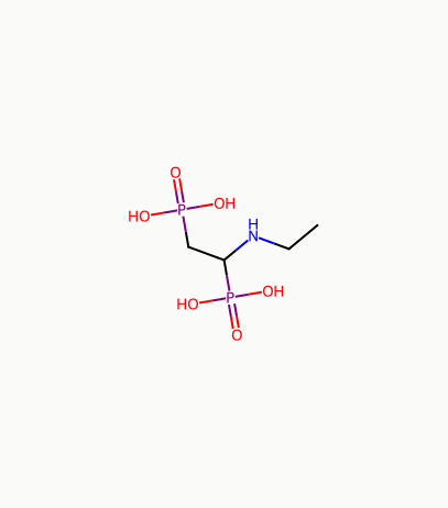 CCNC(CP(=O)(O)O)P(=O)(O)O